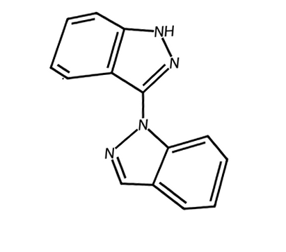 [c]1cccc2[nH]nc(-n3ncc4ccccc43)c12